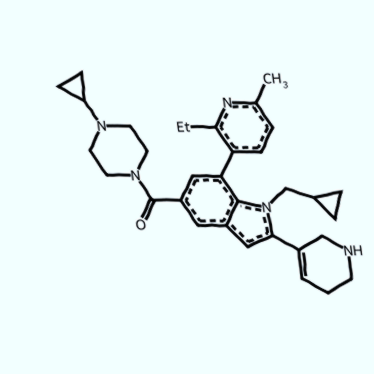 CCc1nc(C)ccc1-c1cc(C(=O)N2CCN(C3CC3)CC2)cc2cc(C3=CCCNC3)n(CC3CC3)c12